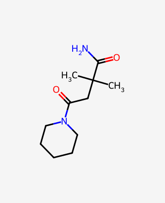 CC(C)(CC(=O)N1CCCCC1)C(N)=O